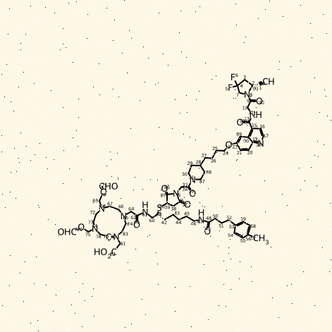 C#C[C@H]1CC(F)(F)CN1C(=O)CNC(=O)c1ccnc2ccc(OCCCCC3CCN(C(=O)CN4C(=O)CC(S[C@H](CCCCCNC(=O)CCCc5ccc(C)cc5)CNC(=O)CN5CCN(COC=O)CCN(COC=O)CCN(CC(=O)O)CC5)C4=O)CC3)cc12